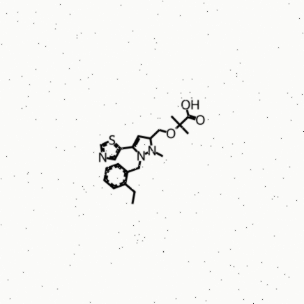 CCc1ccccc1CN1C(c2cncs2)=CC(COC(C)(C)C(=O)O)N1C